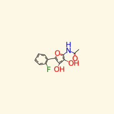 CC(=O)Nc1oc(-c2ccccc2F)c(O)c1O